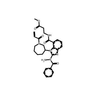 C=CC(=O)N1CCCCC(n2c(N(N)C(=O)c3ccccc3)nc3cccc(C(=O)NCCC(=O)OC)c32)C1